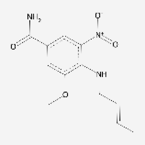 CC=CCNc1c(OC)cc(C(N)=O)cc1[N+](=O)[O-]